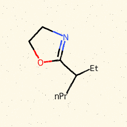 CCCC(CC)C1=NCCO1